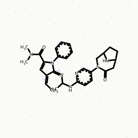 C/C=C1/C=C(C(=O)N(C)C)N(c2ccccc2)/C1=N/C(C)Nc1ccc(N2CC3CCC(CC2=O)N3)cn1